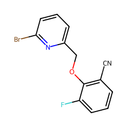 N#Cc1cccc(F)c1OCc1cccc(Br)n1